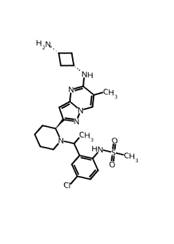 Cc1cn2nc([C@@H]3CCCCN3C(C)c3cc(Cl)ccc3NS(C)(=O)=O)cc2nc1N[C@H]1C[C@@H](N)C1